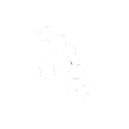 O=C(c1ccncc1)N1CC[C@](c2ccc(C(F)(C(F)(F)F)C(F)(F)F)cc2)(S(=O)(=O)c2ccc(F)cc2)C1